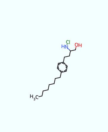 CCCCCCCCc1ccc(CCC(CO)NCl)cc1